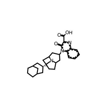 O=C(O)c1nc2ccccc2n(C2CC3CC[C@@]4(C5CC6CCCC(C6)C5)CC(C2)N34)c1=O